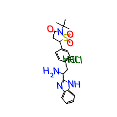 CC(C)(C)N1C(=O)CC(c2ccc(CC(N)c3nc4ccccc4[nH]3)cc2)S1(=O)=O.Cl.Cl